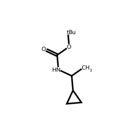 CC(NC(=O)OC(C)(C)C)C1CC1